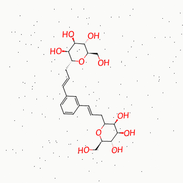 OC[C@H]1O[C@H](C/C=C/c2cccc(/C=C/CC3O[C@H](CO)[C@@H](O)[C@H](O)[C@@H]3O)c2)[C@@H](O)[C@@H](O)[C@@H]1O